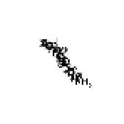 Cc1cc(N(C)C(N)=O)cc(C)c1CCS(=O)(=O)N1CCC2(CC1)N=C(c1ccc([Si](C)(C)C)cc1)NC2=O